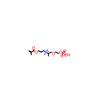 C=C(C)C(=O)OCCC[N+](C)(C)C(C)COCCOP(=O)([O-])O